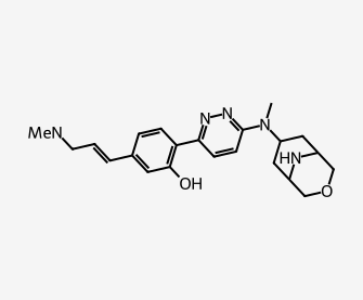 CNC/C=C/c1ccc(-c2ccc(N(C)C3CC4COCC(C3)N4)nn2)c(O)c1